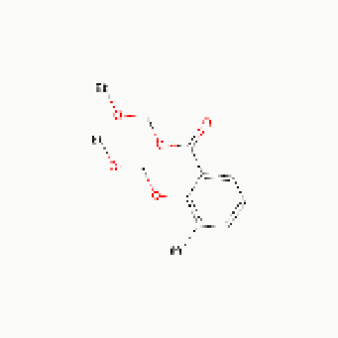 CCOCOC(=O)c1cccc(C(C)C)c1OCOCC